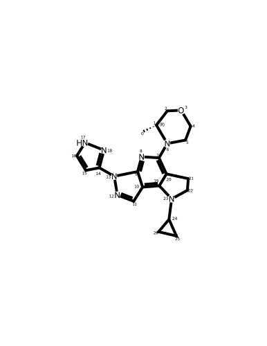 C[C@@H]1COCCN1c1nc2c(cnn2-c2cc[nH]n2)c2c1CCN2C1CC1